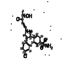 CN(O)C(=O)C#Cn1cc(-c2ccc(Cl)cc2)c(-c2ccc(S(N)(=O)=O)cc2)n1